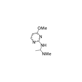 CNC(C)Nc1nccc(OC)n1